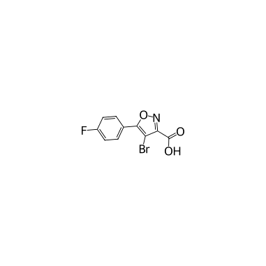 O=C(O)c1noc(-c2ccc(F)cc2)c1Br